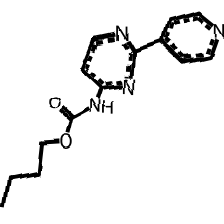 CCCCOC(=O)Nc1ccnc(-c2ccncc2)n1